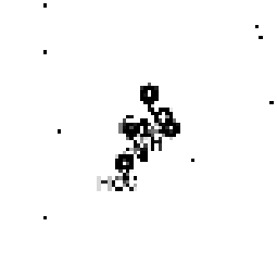 O=C(NCC(=O)N(Cc1ccno1)C1c2ccccc2CCC1Cc1ccccc1)Nc1cccc(C(=O)O)c1